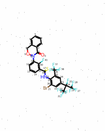 O=C1c2ccccc2CON1c1cccc(C(=S)Nc2c(Br)cc(C(F)(C(F)(F)F)C(F)(F)F)cc2C(F)(F)F)c1F